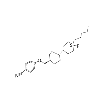 CCCCC[Si]1(F)CCC([C@H]2CC[C@H](COc3ccc(C#N)cc3)CC2)CC1